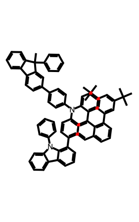 CC(C)(C)c1cc(-c2cccc3cccc(-c4ccccc4N(c4ccc(-c5ccc6c(c5)C(C)(c5ccccc5)c5ccccc5-6)cc4)c4ccc(-c5cccc6c7ccccc7n(-c7ccccc7)c56)cc4)c23)cc(C(C)(C)C)c1